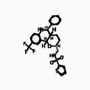 O=S(=O)(NC[C@H]1CC[C@@H]2[C@H](O1)c1cc(C(F)(F)F)ccc1N[C@H]2c1ccccc1)c1cccs1